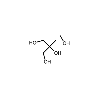 CC(O)(CO)CO.CO